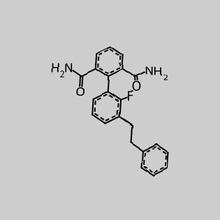 NC(=O)c1cccc(C(N)=O)c1-c1cccc(CCc2ccccc2)c1F